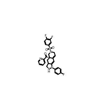 O=C(c1ccccn1)[C@]12CC3CNN(c4ccc(F)cc4)C3=CC1=CCN(S(=O)(=O)c1ccc(F)c(F)c1)C2